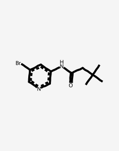 CC(C)(C)CC(=O)Nc1cncc(Br)c1